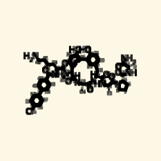 C[C@H](NC(=O)[C@@H]1CCCN1C(=O)[C@H](C)NC(=O)[C@@H]1Cc2ccc(O)c(c2)-c2cc(ccc2O)[C@H](N(C)C(=O)[C@H](CCCCN)NC(=O)c2ccc(-c3ccc(Cl)cc3)cc2)C(=O)N[C@@H](C)C(=O)N1)C(N)=O